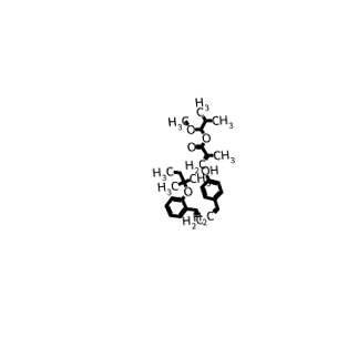 C=C(C)C(=O)OC(OC)C(C)C.C=Cc1ccc(O)cc1.C=Cc1ccccc1OC(C)(C)CC